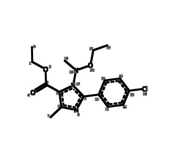 CCOC(=O)c1c(C)nc(-c2ccc(Cl)cc2)n1N(C)OCC